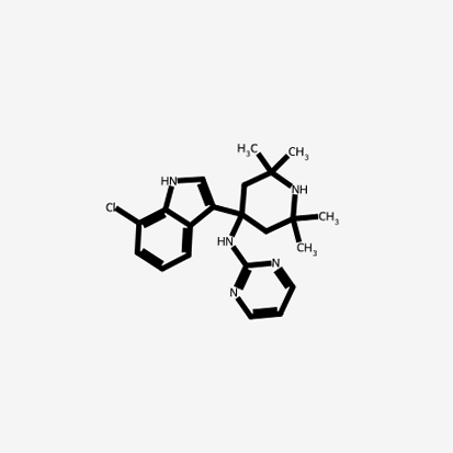 CC1(C)CC(Nc2ncccn2)(c2c[nH]c3c(Cl)cccc23)CC(C)(C)N1